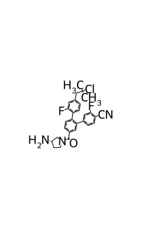 CC(C)(Cl)Cc1ccc(-c2ccc(C(=O)N3CC[C@H](N)C3)cc2-c2ccc(C#N)c(F)c2)c(F)c1